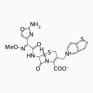 CON=C(C(=O)NC1C(=O)N2C(C(=O)[O-])=C(C[n+]3ccc4sccc4c3)CS[C@@H]12)c1coc(N)n1